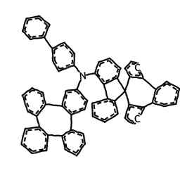 c1ccc(-c2ccc(N(c3ccc4c(c3)-c3ccccc3-c3ccccc3-c3ccccc3-4)c3cccc4c3-c3ccccc3C43c4ccccc4-c4ccccc4-c4ccccc43)cc2)cc1